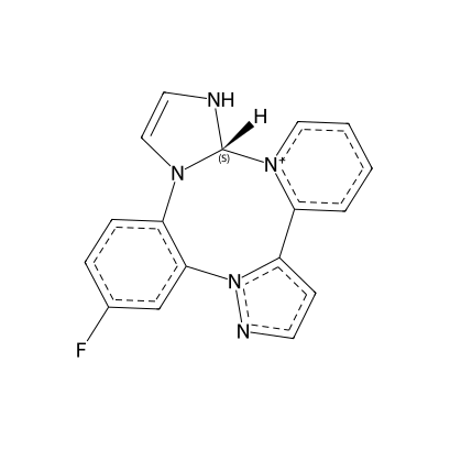 Fc1ccc2c(c1)-n1nccc1-c1cccc[n+]1[C@H]1NC=CN21